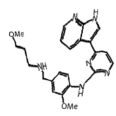 COCCCNCc1ccc(Nc2nccc(-c3c[nH]c4ncccc34)n2)c(OC)c1